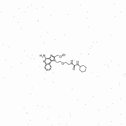 CCOCc1nc2c(N)nc3ccccc3c2n1CCOCCNC(=O)NC1CCCCC1